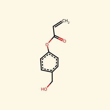 C=CC(=O)Oc1ccc(CO)cc1